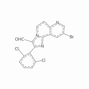 O=Cc1c(-c2c(Cl)cccc2Cl)nc2c3cc(Br)cnc3ccn12